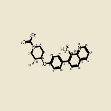 CCC(=O)N1CC[C@@H](Oc2ccc(-c3ccc4cccnc4c3C)cc2)[C@H](F)C1